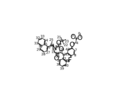 COC(=O)COc1ccc(F)c(C2C[C@H](CN(C(=O)OC(C)(C)C)[C@H](C)c3cccc4ccccc34)Oc3ccccc32)c1